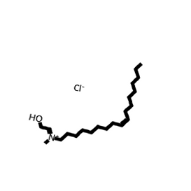 CCCCCCCC/C=C\CCCCCCCC[N+](C)=CCO.[Cl-]